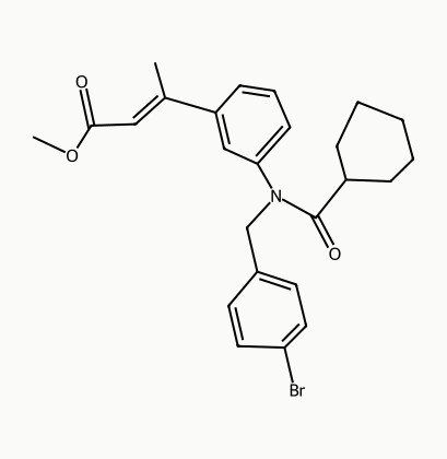 COC(=O)C=C(C)c1cccc(N(Cc2ccc(Br)cc2)C(=O)C2CCCCC2)c1